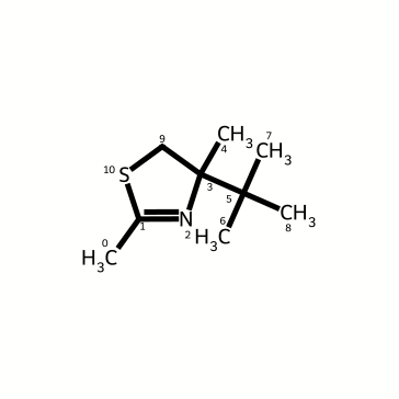 CC1=NC(C)(C(C)(C)C)CS1